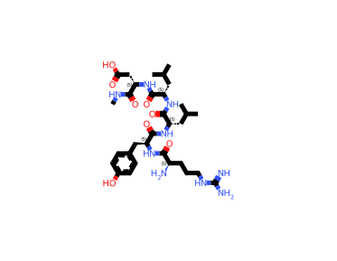 CNC(=O)[C@H](CC(=O)O)NC(=O)[C@H](CC(C)C)NC(=O)[C@H](CC(C)C)NC(=O)[C@H](Cc1ccc(O)cc1)NC(=O)[C@@H](N)CCCNC(=N)N